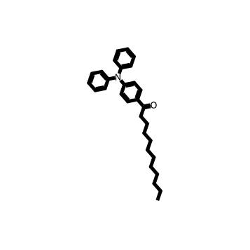 CCCCCCCCCCCC(=O)c1ccc(N(c2ccccc2)c2ccccc2)cc1